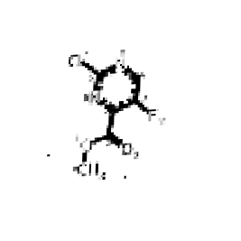 COC(=O)c1nc(Cl)ncc1F